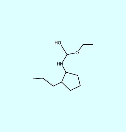 CCCC1CCCC1NC(O)OCC